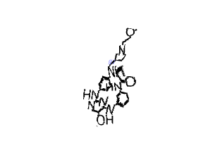 C=CC(=O)Nc1cccc(Nc2nc(Nc3ccc(N/C=C4\CCN(CCOC)C4)cc3)ncc2OC)c1